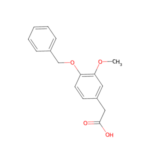 COc1cc(CC(=O)O)ccc1OCc1ccccc1